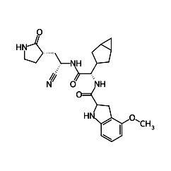 COc1cccc2c1CC(C(=O)N[C@H](C(=O)N[C@H](C#N)C[C@@H]1CCNC1=O)C1CC3CC3C1)N2